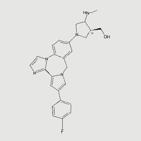 CNC1CN(c2ccc3c(c2)Cn2cc(-c4ccc(F)cc4)cc2-c2nccn2-3)C[C@@H]1CO